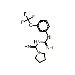 N=C(NC(=N)N1CCCC1)Nc1cccc(OC(F)(F)F)c1